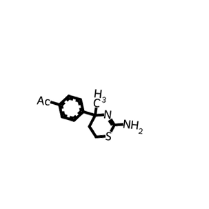 CC(=O)c1ccc(C2(C)CCSC(N)=N2)cc1